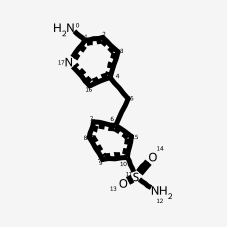 Nc1ccc(Cc2cc[c]c(S(N)(=O)=O)c2)cn1